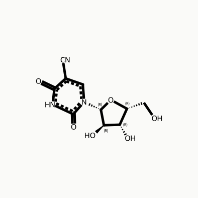 N#Cc1cn([C@@H]2O[C@H](CO)[C@H](O)[C@H]2O)c(=O)[nH]c1=O